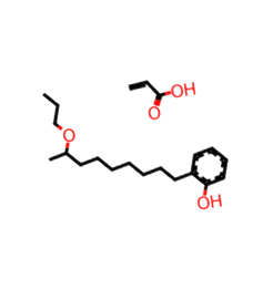 C=CC(=O)O.CCCOC(C)CCCCCCCc1ccccc1O